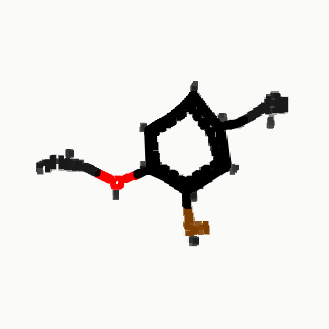 CCCCCCOc1ccc(C(C)(C)C)cc1S